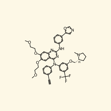 C#Cc1cccc(N(c2cc(OC[C@H]3CCCN3C)cc(C(F)(F)F)c2)c2nc(Nc3cccc(-c4cnco4)c3)nc3cc(OCCOC)c(OCCOC)cc23)c1